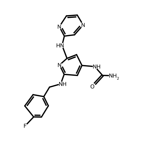 NC(=O)Nc1cc(NCc2ccc(F)cc2)nc(Nc2cnccn2)c1